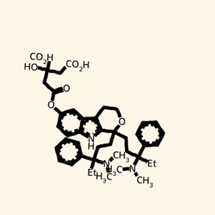 CCC(CCC1(CCC(CC)(c2ccccc2)N(C)C)OCCc2c1[nH]c1ccc(OC(=O)CC(O)(CC(=O)O)C(=O)O)cc21)(c1ccccc1)N(C)C